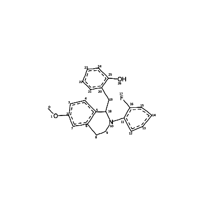 COc1ccc2c(c1)CCN(c1ccccc1F)C2Cc1ccccc1O